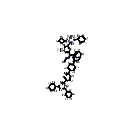 C=C/C=C(\C(C)/C=C(C=N)/C(=N/C(=N)c1ccccc1)N(C)C1CCC1)C12CC3CC(C1)CC(c1ccc(-c4ccc(-c5nc(-c6ccccc6)nc(-c6ccccc6)n5)cn4)cc1)(C3)C2